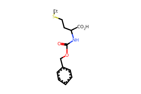 CCSCCC(NC(=O)OCc1ccccc1)C(=O)O